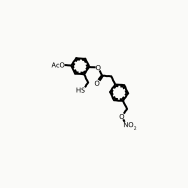 CC(=O)Oc1ccc(OC(=O)Cc2ccc(CO[N+](=O)[O-])cc2)c(CS)c1